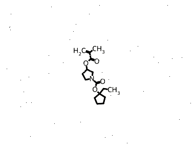 C=C(C)C(=O)OC1CCN(C(=O)OC2(CC)CCCC2)C1